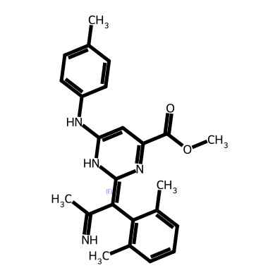 COC(=O)C1=N/C(=C(/C(C)=N)c2c(C)cccc2C)NC(Nc2ccc(C)cc2)=C1